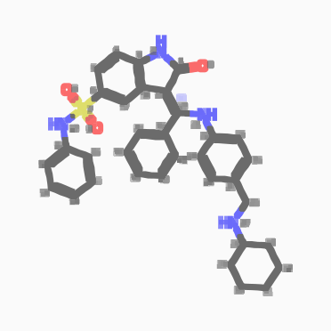 O=C1Nc2ccc(S(=O)(=O)Nc3ccccc3)cc2/C1=C(/Nc1ccc(CNC2CCCCC2)cc1)c1ccccc1